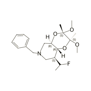 CO[C@@]1(C)O[C@@H]2[C@@H](C(C)F)CN(Cc3ccccc3)C[C@H]2O[C@]1(C)OC